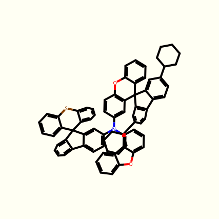 c1ccc2c(c1)Oc1ccc(N(c3ccc4c(c3)C3(c5ccccc5Sc5ccccc53)c3ccccc3-4)c3cccc4oc5ccccc5c34)cc1C21c2cc(C3CCCCC3)ccc2-c2ccc(C3CCCCC3)cc21